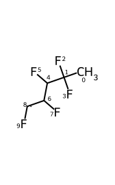 CC(F)(F)C(F)C(F)[CH]F